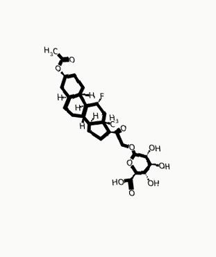 CC(=O)O[C@H]1CC[C@H]2[C@@H](CC[C@@H]3[C@@H]2[C@H](F)C[C@]2(C)[C@@H](C(=O)COC4O[C@H](C(=O)O)[C@@H](O)[C@H](O)[C@H]4O)CC[C@@H]32)C1